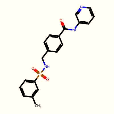 Cc1cccc(S(=O)(=O)NCc2ccc(C(=O)Nc3cccnc3)cc2)c1